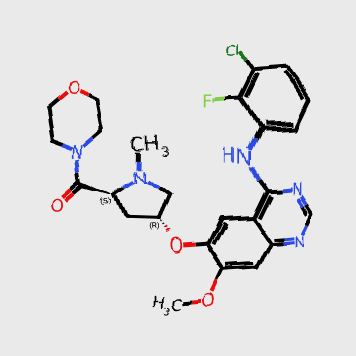 COc1cc2ncnc(Nc3cccc(Cl)c3F)c2cc1O[C@@H]1C[C@@H](C(=O)N2CCOCC2)N(C)C1